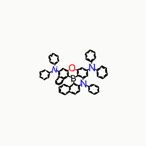 c1ccc(N(c2ccccc2)c2cc3c4c(c2)N(c2ccccc2)c2ccc5ccccc5c2B4c2c(cc(N(c4ccccc4)c4ccccc4)c4ccccc24)O3)cc1